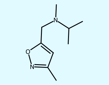 Cc1cc(CN(C)C(C)C)on1